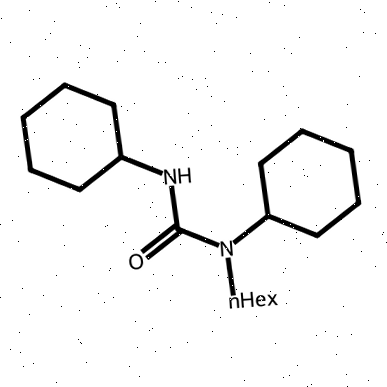 CCCCCCN(C(=O)NC1CCCCC1)C1CCCCC1